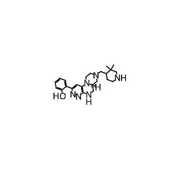 CC1(C)CNCCC1CN1CCN2c3cc(-c4ccccc4O)nnc3NC[C@H]2C1